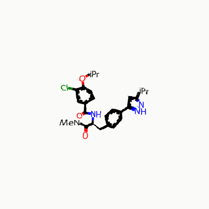 CNC(=O)[C@H](Cc1ccc(-c2cc(C(C)C)n[nH]2)cc1)NC(=O)c1ccc(OC(C)C)c(Cl)c1